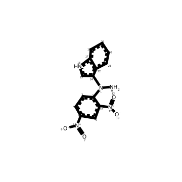 NN(c1ccc([N+](=O)[O-])cc1[N+](=O)[O-])c1c[nH]c2ccccc12